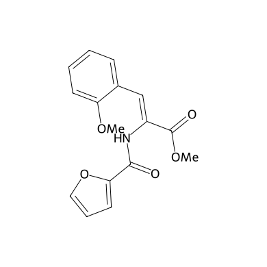 COC(=O)C(=Cc1ccccc1OC)NC(=O)c1ccco1